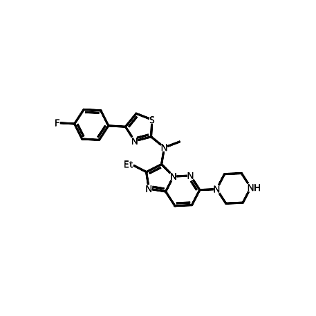 CCc1nc2ccc(N3CCNCC3)nn2c1N(C)c1nc(-c2ccc(F)cc2)cs1